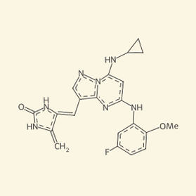 C=c1[nH]c(=O)[nH]/c1=C\c1cnn2c(NC3CC3)cc(Nc3cc(F)ccc3OC)nc12